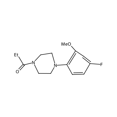 CCC(=O)N1CCN(c2ccc(F)cc2OC)CC1